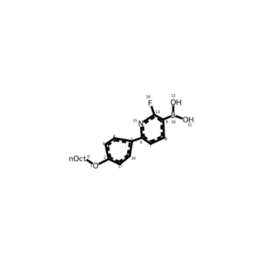 CCCCCCCCOc1ccc(-c2ccc(B(O)O)c(F)n2)cc1